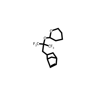 FC(F)(F)C(CC1CC2C=CC1C2)(OC1CCCCO1)C(F)(F)F